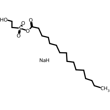 CCCCCCCCCCCCCCCC(=O)OS(=O)(=O)CCO.[NaH]